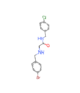 O=C(CNCc1ccc(Br)cc1)NCc1ccc(Cl)cc1